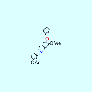 COc1cc2c(cc1OCc1ccccc1)CCN(Cc1cccc(OC(C)=O)c1)C2